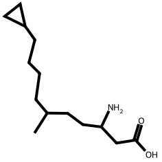 CC(CCCCC1CC1)CCC(N)CC(=O)O